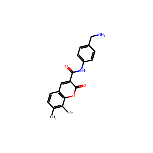 CCCc1c(C)ccc2cc(C(=O)Nc3ccc(CN)cc3)c(=O)oc12